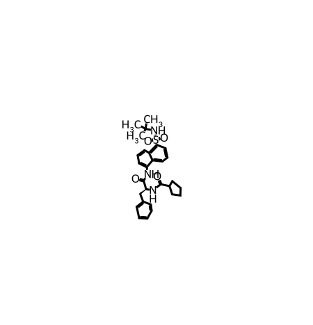 CC(C)(C)NS(=O)(=O)c1cccc2c(NC(=O)[C@H](Cc3ccccc3)NC(=O)C3CCCC3)cccc12